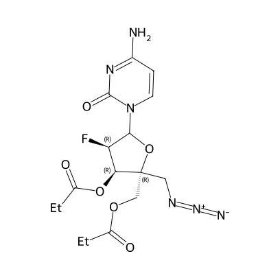 CCC(=O)OC[C@@]1(CN=[N+]=[N-])OC(n2ccc(N)nc2=O)[C@H](F)[C@@H]1OC(=O)CC